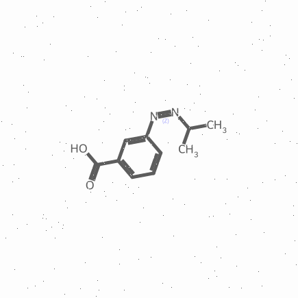 CC(C)/N=N\c1cccc(C(=O)O)c1